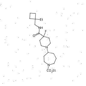 CCOC(=O)N1CCCC(N2CCC(F)(C(=O)NCC3(CC)CCC3)CC2)CC1